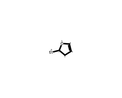 [CH2]CC1CC=CO1